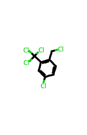 ClCc1ccc(Cl)cc1C(Cl)(Cl)Cl